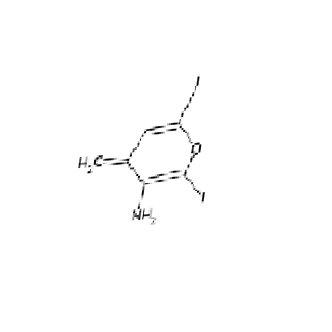 C=C1C=C(I)OC(I)=C1N